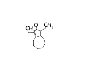 CCC1=C2CCCCCCC2C(CC)C1=O